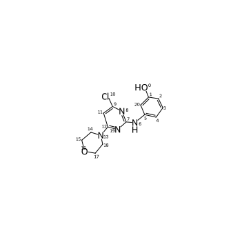 Oc1cccc(Nc2nc(Cl)cc(N3CCOCC3)n2)c1